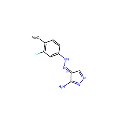 COc1ccc(N/N=C2\C=NN=C2N)cc1F